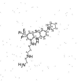 NCCNCCCNc1cc(C(F)(F)F)cc2c1Nc1ccc(N3CC4CCC3C4)cc1S2